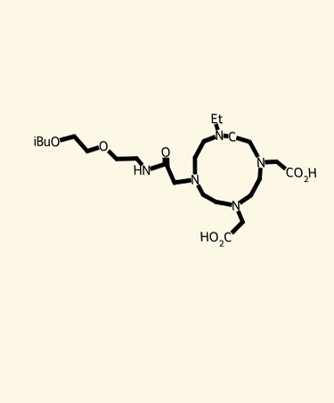 CCN1CCN(CC(=O)O)CCN(CC(=O)O)CCN(CC(=O)NCCOCCOCC(C)C)CC1